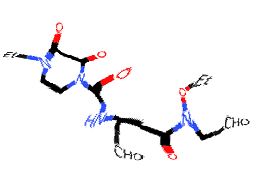 CCON(CC=O)C(=O)CC(C=O)NC(=O)N1CCN(CC)C(=O)C1=O